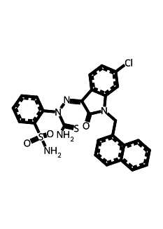 NC(=S)N(/N=C1\C(=O)N(Cc2cccc3ccccc23)c2cc(Cl)ccc21)c1ccccc1S(N)(=O)=O